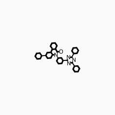 O=c1c2ccccc2c2cc(-c3ccccc3)ccc2n1-c1cccc(-c2nc(-c3ccccc3)nc(-c3ccccc3)n2)c1